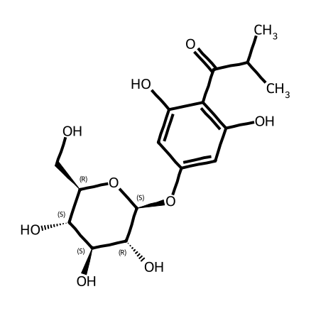 CC(C)C(=O)c1c(O)cc(O[C@@H]2O[C@H](CO)[C@@H](O)[C@H](O)[C@H]2O)cc1O